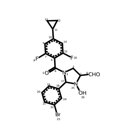 O=CC1CN(C(=O)c2c(F)cc(C3CC3)cc2F)C(c2cccc(Br)c2)N1O